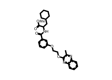 COC(=O)C(CC1CCCCC1)NC(=O)c1cccc(OCCOc2nc3ccccc3nc2C)c1